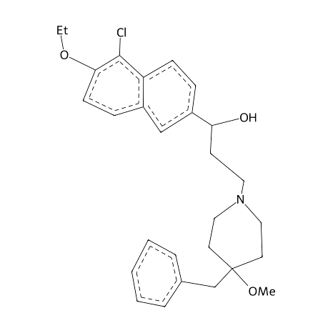 CCOc1ccc2cc(C(O)CCN3CCC(Cc4ccccc4)(OC)CC3)ccc2c1Cl